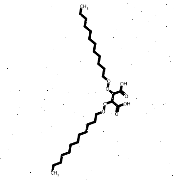 CCCCCCCCCCCCOOC(C(=O)O)C(OOCCCCCCCCCCCC)C(=O)O